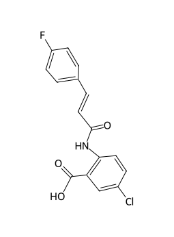 O=C(C=Cc1ccc(F)cc1)Nc1ccc(Cl)cc1C(=O)O